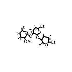 CCC1O[C@H](OC2[C@@H](OC3[C@@H](C)[C@H](C)C(CC)O[C@@H]3F)OC(CC)[C@@H](C)[C@@H]2C)C(OC(C)=O)[C@@H](C)[C@@H]1C